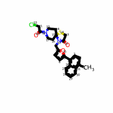 Cc1ccc(-c2ccc(CN3C(=O)CSC34CCN(C(=O)CCl)CC4)o2)c2ccccc12